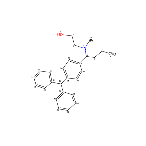 CC(C)N(CCO)C(CCC=O)c1ccc(C(c2ccccc2)c2ccccc2)cc1